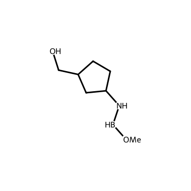 COBNC1CCC(CO)C1